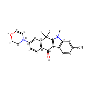 Cn1c2c(c3ccc(C#N)cc31)C(=O)c1ccc(N3C=COCC3)cc1C2(C)C